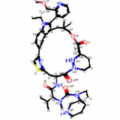 CCn1c(-c2cccnc2[C@H](C)OC)c2c3cc(ccc31)-c1csc(n1)C[C@H](NC(=O)[C@H](C(C)C)N(C)C(=O)N1CC[C@@]13CCCNC3)C(=O)N1CCC[C@H](N1)C(=O)OCC(C)(C)C2